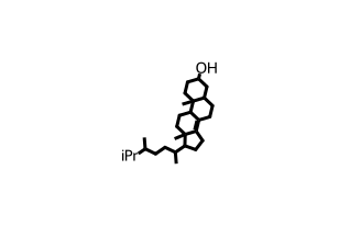 CC(C)C(C)CCC(C)C1CCC2=C3CCC4CC(O)CCC4(C)C3CCC21C